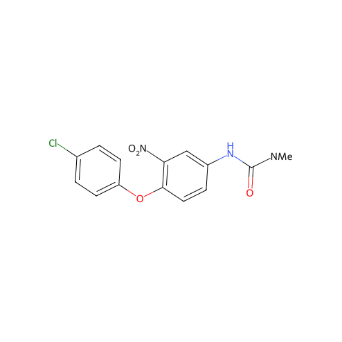 CNC(=O)Nc1ccc(Oc2ccc(Cl)cc2)c([N+](=O)[O-])c1